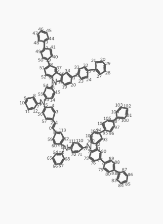 C(=C\c1ccc(N(c2ccccc2)c2ccc(-n3c4ccc(-c5ccc(-c6ccccc6)cc5)cc4c4cc(-c5ccc(-c6ccccc6)cc5)ccc43)cc2)cc1)/c1ccc(N(c2ccccc2)c2ccc(-n3c4ccc(-c5ccc(-c6ccccc6)cc5)cc4c4cc(-c5ccc(-c6ccccc6)cc5)ccc43)cc2)cc1